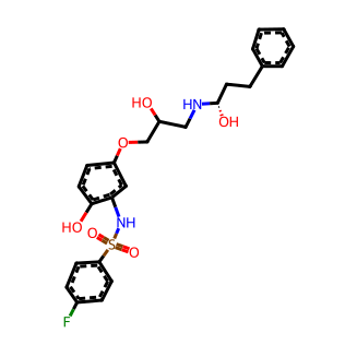 O=S(=O)(Nc1cc(OCC(O)CN[C@@H](O)CCc2ccccc2)ccc1O)c1ccc(F)cc1